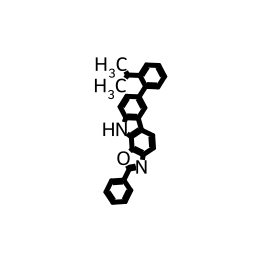 CC(C)c1ccccc1-c1ccc2[nH]c3c(ccc4nc(-c5ccccc5)oc43)c2c1